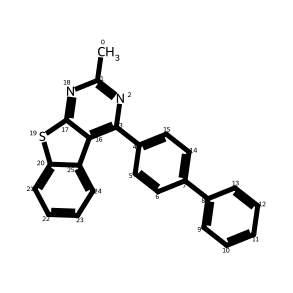 Cc1nc(-c2ccc(-c3ccccc3)cc2)c2c(n1)sc1ccccc12